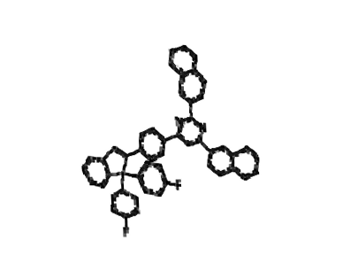 Fc1ccc(C2(c3ccc(F)cc3)C(c3ccc(-c4cc(-c5ccc6ccccc6c5)nc(-c5ccc6ccccc6c5)n4)cc3)=Cc3ccccc32)cc1